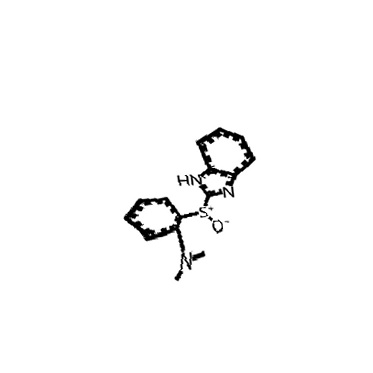 CN(C)c1ccccc1[S+]([O-])c1nc2ccccc2[nH]1